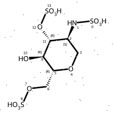 O=S(=O)(O)N[C@H]1[CH]O[C@H](COS(=O)(=O)O)[C@@H](O)[C@@H]1OS(=O)(=O)O